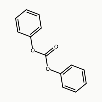 O=C(Oc1[c]cccc1)Oc1ccccc1